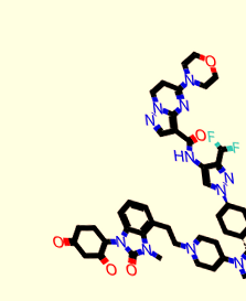 CN(C[C@H]1CC[C@H](n2cc(NC(=O)c3cnn4c3N=C(N3CCOCC3)CC4)c(C(F)F)n2)CC1)C1CCN(CCc2cccc3c2n(C)c(=O)n3C2CCC(=O)CC2=O)CC1